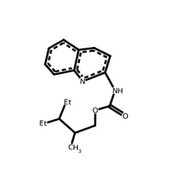 CCC(CC)C(C)COC(=O)Nc1ccc2ccccc2n1